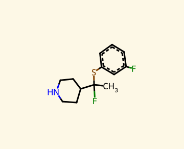 CC(F)(Sc1cccc(F)c1)C1CCNCC1